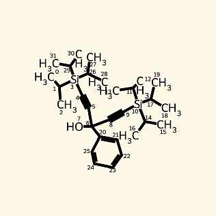 CC(C)[Si](C#CC(O)(C#C[Si](C(C)C)(C(C)C)C(C)C)c1ccccc1)(C(C)C)C(C)C